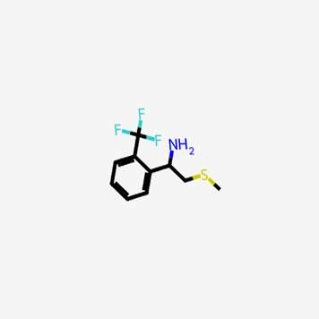 CSCC(N)c1ccccc1C(F)(F)F